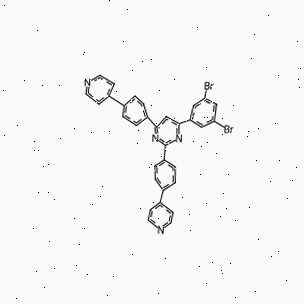 Brc1cc(Br)cc(-c2cc(-c3ccc(-c4ccncc4)cc3)nc(-c3ccc(-c4ccncc4)cc3)n2)c1